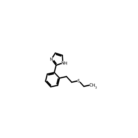 CCSCCc1ccccc1-c1ncc[nH]1